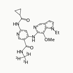 [2H]C([2H])([2H])NC(=O)c1cnc(NC(=O)C2CC2)cc1Nc1ncc2ccn(CC)c2c1OC